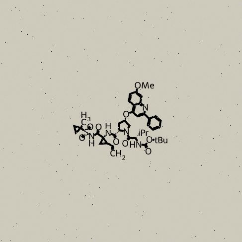 C=CC1C[C@]1(NC(=O)[C@@H]1C[C@@H](Oc2cc(-c3ccccc3)nc3cc(OC)ccc23)CN1C(=O)[C@@H](NC(=O)OC(C)(C)C)C(C)C)C(=O)NS(=O)(=O)C1(C)CC1